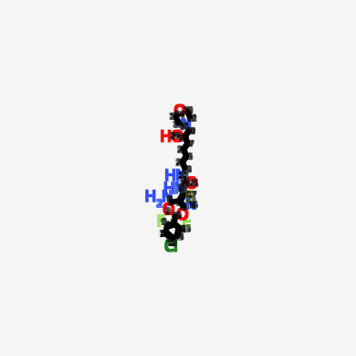 NC(=O)c1c(OCc2c(F)cc(Cl)cc2F)nsc1NC(=O)NCCCCCC(O)CN1CCOCC1